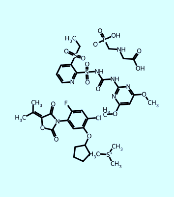 CC(C)=C1OC(=O)N(c2cc(OC3CCCC3)c(Cl)cc2F)C1=O.CCS(=O)(=O)c1cccnc1S(=O)(=O)NC(=O)Nc1nc(OC)cc(OC)n1.C[S+](C)C.O=C(O)CNCP(=O)([O-])O